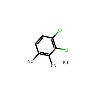 N#Cc1ccc(Cl)c(Cl)c1C#N.[Pd]